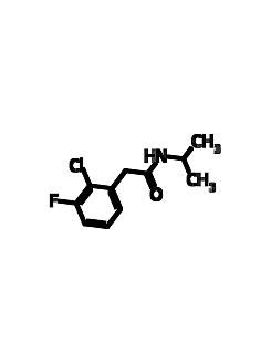 CC(C)NC(=O)Cc1cccc(F)c1Cl